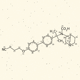 CC(C)(c1ccc(-c2ccc(OCCCC#N)cc2)cc1)N(C(=O)O)C1CN2CCC1CC2